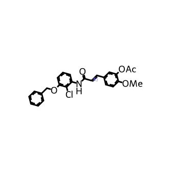 COc1ccc(/C=C/C(=O)Nc2cccc(OCc3ccccc3)c2Cl)cc1OC(C)=O